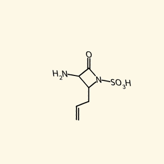 C=CCC1C(N)C(=O)N1S(=O)(=O)O